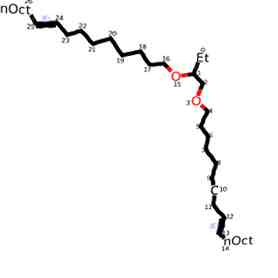 [CH2]CC(COCCCCCCCC/C=C/CCCCCCCC)OCCCCCCCC/C=C/CCCCCCCC